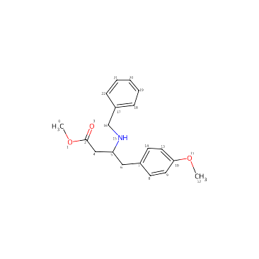 COC(=O)CC(Cc1ccc(OC)cc1)NCc1ccccc1